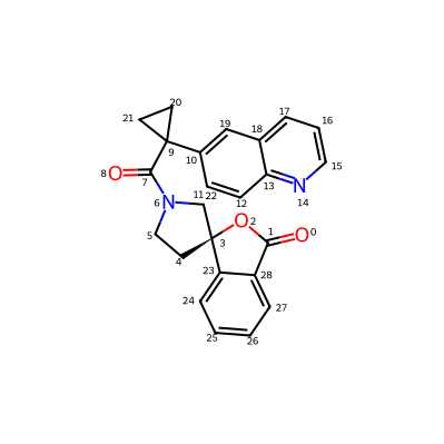 O=C1O[C@]2(CCN(C(=O)C3(c4ccc5ncccc5c4)CC3)C2)c2ccccc21